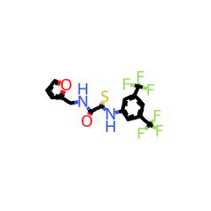 O=C(NCc1ccco1)C(=S)Nc1cc(C(F)(F)F)cc(C(F)(F)F)c1